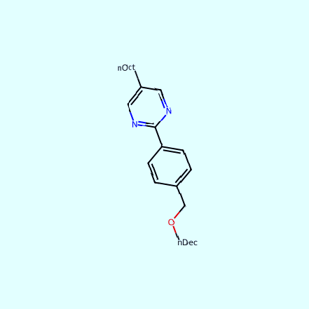 CCCCCCCCCCOCc1ccc(-c2ncc(CCCCCCCC)cn2)cc1